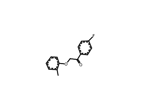 Cc1ccccc1OCC(=O)c1ccc(F)cc1